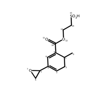 CC1CC=C(C2CO2)C=C1C(=O)OCCS(=O)(=O)O